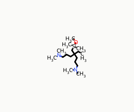 CCC(CCCN(C)C)(CCCN(C)C)C[Si](C)(C)OC